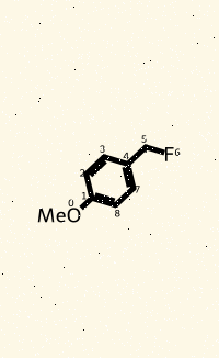 COc1ccc([CH]F)cc1